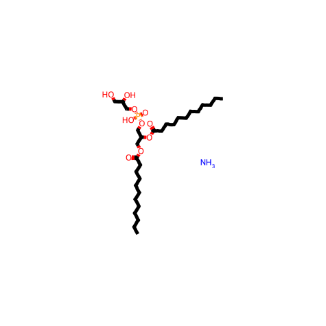 CCCCCCCCCCCC(=O)OCC(COP(=O)(O)OCC(O)CO)OC(=O)CCCCCCCCCCC.N